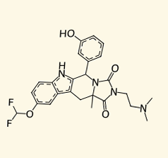 CN(C)CCN1C(=O)N2C(c3cccc(O)c3)c3[nH]c4ccc(OC(F)F)cc4c3CC2(C)C1=O